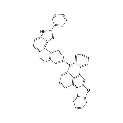 c1ccc(C2Nc3ccc4ccc5cc(N(c6ccccc6)c6ccccc6-c6ccc7c(c6)oc6ccccc67)ccc5c4c3S2)cc1